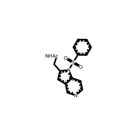 CC(=O)NCc1cc2cnccc2n1S(=O)(=O)c1ccccc1